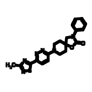 Cc1nsc(-c2ccc(N3CCC4(CC3)CN(c3ccccc3)C(=O)O4)nn2)n1